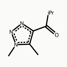 Cc1c(C(=O)C(C)C)nnn1C